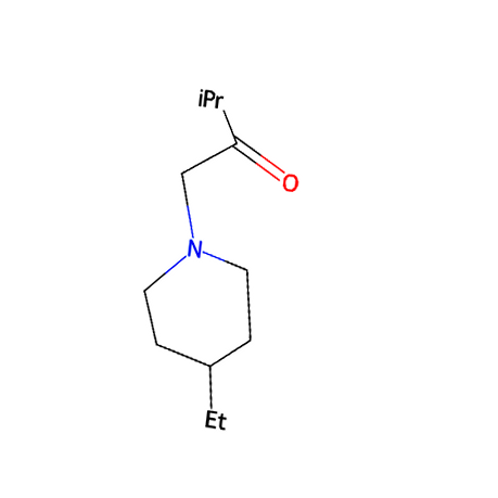 CCC1CCN(CC(=O)C(C)C)CC1